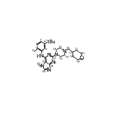 Cc1ccc(C(C)(C)C)cc1Nc1nc(N2CCN(CC3CCOCC3)CC2)nc2ncn(C)c12